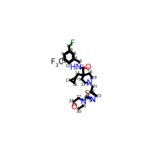 O=C(NCc1cc(CF)cc(C(F)(F)F)c1)C1(CC2CC2)CCN(Cc2cnc(N3CCOCC3)s2)CC1